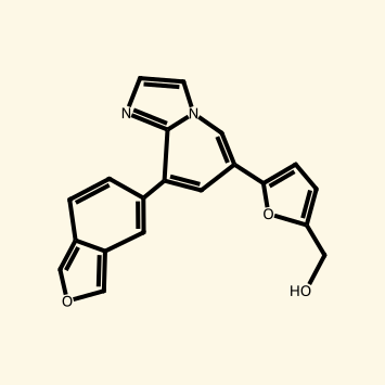 OCc1ccc(-c2cc(-c3ccc4cocc4c3)c3nccn3c2)o1